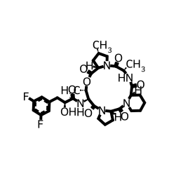 C[C@H]1C[C@H]2C(=O)O[C@@H](C)[C@H](NC(=O)[C@@H](O)Cc3cc(F)cc(F)c3)C(=O)N3CCC[C@H]3C(=O)N3CCCC[C@H]3C(=O)N[C@@H](C)C(=O)N2C1